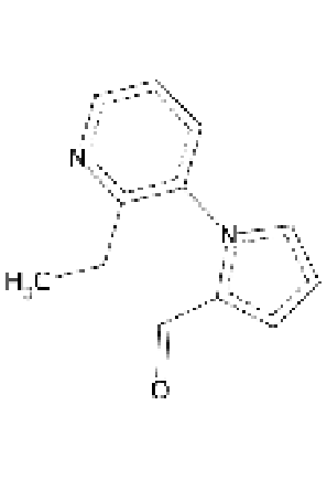 CCc1ncccc1-n1cccc1C=O